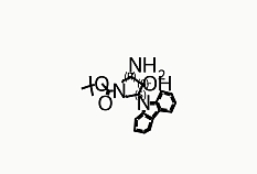 CC(C)(C)OC(=O)N1C[C@@H](N)[C@H](O)[C@@H](n2c3ccccc3c3ccccc32)C1